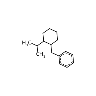 CC(C)C1CCCCC1Cc1ccccc1